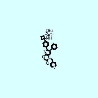 CC(C)(C)OC(=O)NC1(c2ccc(-c3nc4c(cc3-c3ccccc3)N(Cc3ccncc3)C(=O)CO4)cc2)CCC1